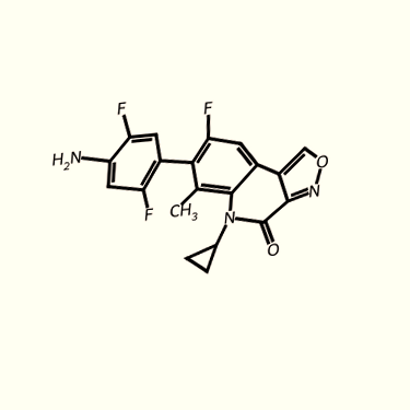 Cc1c(-c2cc(F)c(N)cc2F)c(F)cc2c3conc3c(=O)n(C3CC3)c12